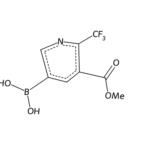 COC(=O)c1cc(B(O)O)cnc1C(F)(F)F